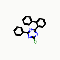 Clc1nc(-c2ccccc2)nc(-c2ccccc2-c2ccccc2)n1